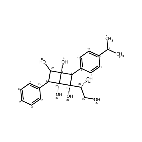 CC(C)c1ccc(C2[C@]3(O)C(O)C(c4ccccc4)[C@]3(O)[C@]2(O)[C@H](O)CO)cc1